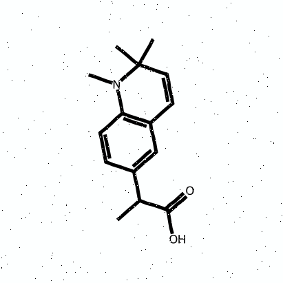 CC(C(=O)O)c1ccc2c(c1)C=CC(C)(C)N2C